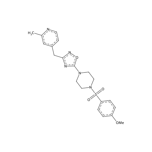 COc1ccc(S(=O)(=O)N2CCN(c3nc(Cc4ccnc(C)c4)no3)CC2)cc1